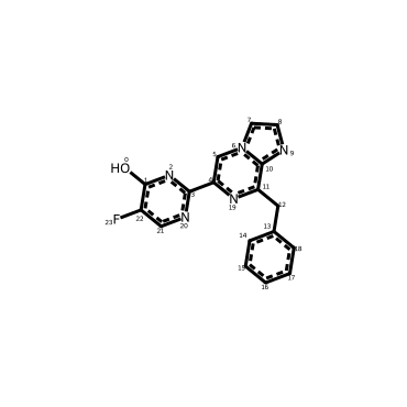 Oc1nc(-c2cn3ccnc3c(Cc3ccccc3)n2)ncc1F